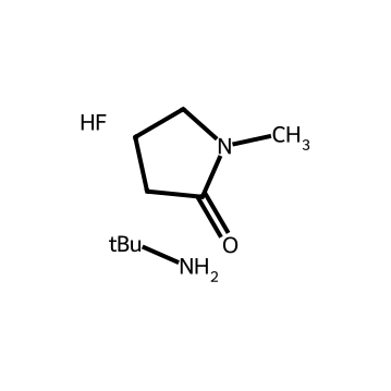 CC(C)(C)N.CN1CCCC1=O.F